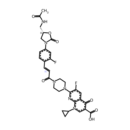 CC(=O)NC[C@H]1CN(c2ccc(/C=C/C(=O)N3CCN(c4nc5c(cc4F)c(=O)c(C(=O)O)cn5C4CC4)CC3)c(F)c2)C(=O)O1